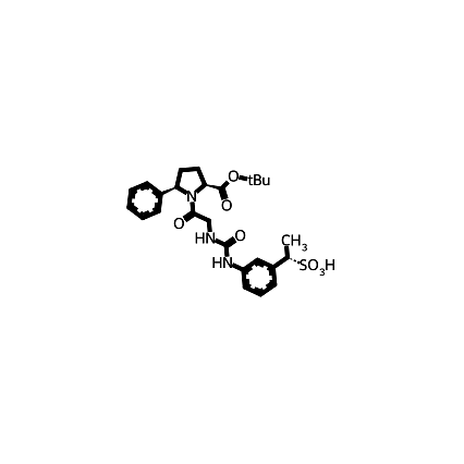 C[C@@H](c1cccc(NC(=O)NCC(=O)N2[C@@H](c3ccccc3)CC[C@H]2C(=O)OC(C)(C)C)c1)S(=O)(=O)O